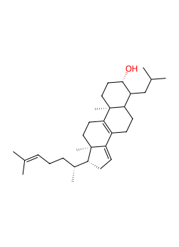 CC(C)=CCC[C@@H](C)[C@H]1CC=C2C3=C(CC[C@@]21C)[C@@]1(C)CC[C@H](O)C(CC(C)C)C1CC3